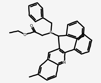 CCOC(=O)CN(Cc1ccccc1)C(c1ccccc1)c1cc2cc(C)ccc2nc1-c1ccccc1